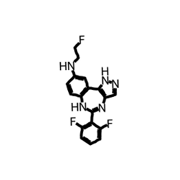 FCCNc1ccc2c(c1)-c1[nH]ncc1N=C(c1c(F)cccc1F)N2